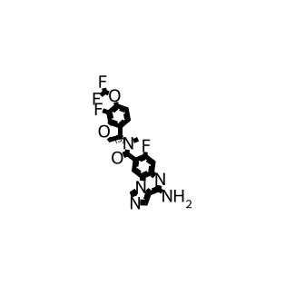 CN(C(=O)c1cc2c(cc1F)nc(N)c1cncn12)[C@@H]1COc2c1ccc(OC(F)F)c2F